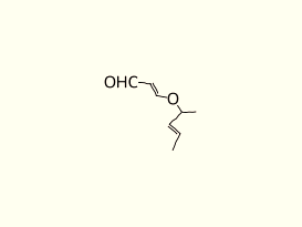 CC=CC(C)OC=CC=O